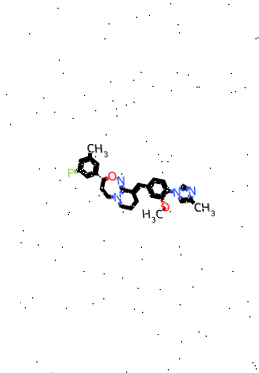 COc1cc(/C=C2\CCCN3CC[C@H](c4cc(C)cc(F)c4)ON=C23)ccc1-n1cnc(C)c1